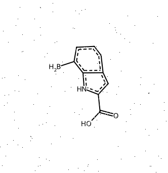 Bc1cccc2cc(C(=O)O)[nH]c12